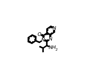 CC(C)C(N)c1nc2cnccc2c(=O)n1Cc1ccccc1